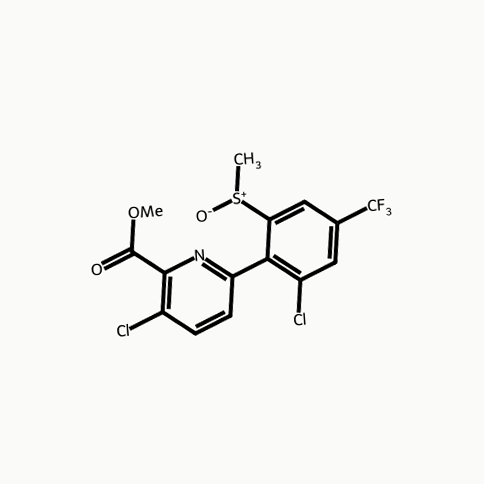 COC(=O)c1nc(-c2c(Cl)cc(C(F)(F)F)cc2[S+](C)[O-])ccc1Cl